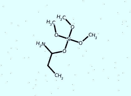 CCC(N)O[Si](OC)(OC)OC